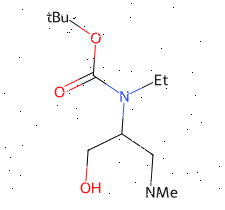 CCN(C(=O)OC(C)(C)C)C(CO)CNC